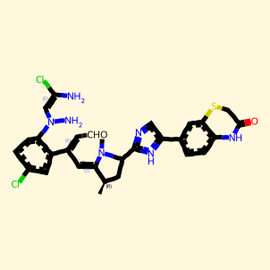 C[C@@H]1CC(c2ncc(-c3ccc4c(c3)SCC(=O)N4)[nH]2)N(C)/C1=C\C(=C/C=O)c1cc(Cl)ccc1N(N)/C=C(\N)Cl